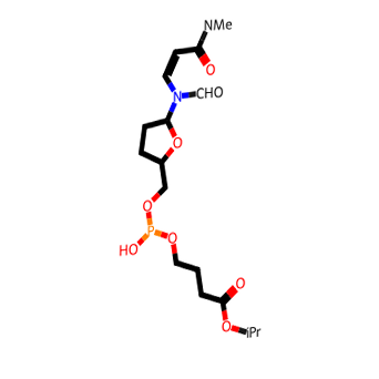 CNC(=O)/C=C\N(C=O)C1CCC(COP(O)OCCCC(=O)OC(C)C)O1